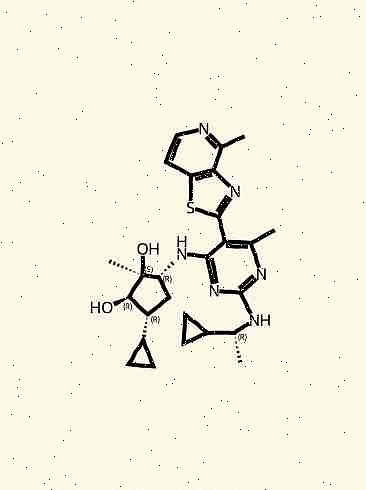 Cc1nc(N[C@H](C)C2CC2)nc(N[C@@H]2C[C@H](C3CC3)[C@@H](O)[C@@]2(C)O)c1-c1nc2c(C)nccc2s1